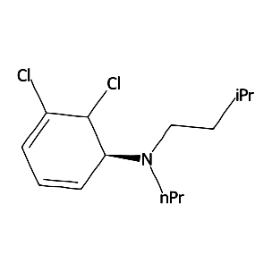 CCCN(CCC(C)C)[C@H]1C=CC=C(Cl)C1Cl